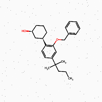 CCCC(C)(C)c1ccc([C@@H]2CCC[C@H](O)C2)c(OCc2ccccc2)c1